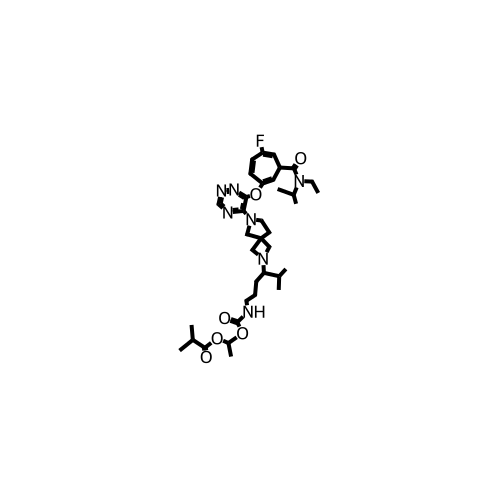 CCN(C(=O)C1C=C(F)C=CC(Oc2nncnc2N2CCC3(C2)CN(C(CCCNC(=O)OC(C)OC(=O)C(C)C)C(C)C)C3)=C1)C(C)C